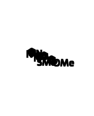 COc1ccc(-c2ccc3nc(-c4cccnc4)nc(SC)c3c2)cc1